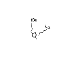 Cc1ccc(CCCCCC(C)(C)C)cc1CCCCCC1(I)CC1